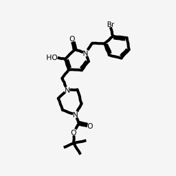 CC(C)(C)OC(=O)N1CCN(Cc2ccn(Cc3ccccc3Br)c(=O)c2O)CC1